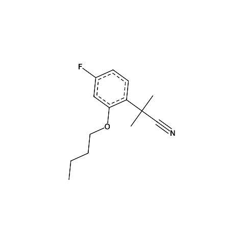 CCCCOc1cc(F)ccc1C(C)(C)C#N